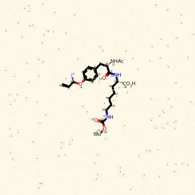 C=C[C@@H](I)Oc1ccc(C[C@H](NC(C)=O)C(=O)N[C@@H](CCCCCNC(=O)OC(C)(C)C)C(=O)O)cc1